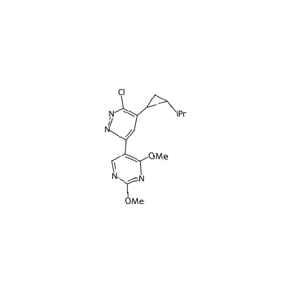 COc1ncc(-c2cc(C3CC3C(C)C)c(Cl)nn2)c(OC)n1